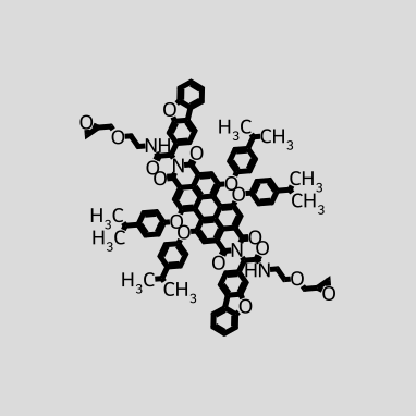 CC(C)c1ccc(Oc2cc3c4c(cc(Oc5ccc(C(C)C)cc5)c5c6c(Oc7ccc(C(C)C)cc7)cc7c8c(cc(Oc9ccc(C(C)C)cc9)c(c2c45)c86)C(=O)N(C(C(=O)NCCOCC2CO2)c2ccc4c(c2)oc2ccccc24)C7=O)C(=O)N(C(C(=O)NCCOCC2CO2)c2ccc4c(c2)oc2ccccc24)C3=O)cc1